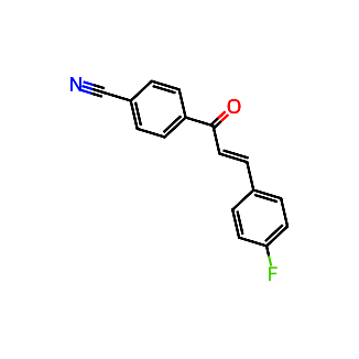 N#Cc1ccc(C(=O)/C=C/c2ccc(F)cc2)cc1